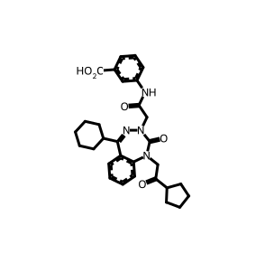 O=C(CN1N=C(C2CCCCC2)c2ccccc2N(CC(=O)C2CCCC2)C1=O)Nc1cccc(C(=O)O)c1